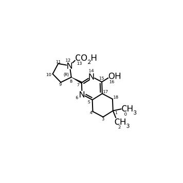 CC1(C)CCc2nc([C@H]3CCCN3C(=O)O)nc(O)c2C1